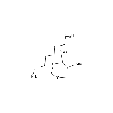 CCCCC1COCOC1OC.NCCCCCCC(=O)O